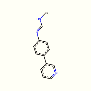 CCC(C)NC=Nc1ccc(-c2cccnc2)cc1